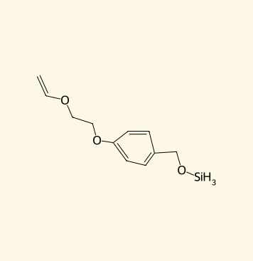 C=COCCOc1ccc(CO[SiH3])cc1